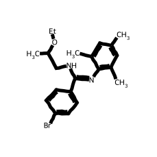 CCOC(C)CNC(=Nc1c(C)cc(C)cc1C)c1ccc(Br)cc1